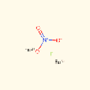 O=[N+]([O-])[O-].[Eu+3].[Eu+3].[F-]